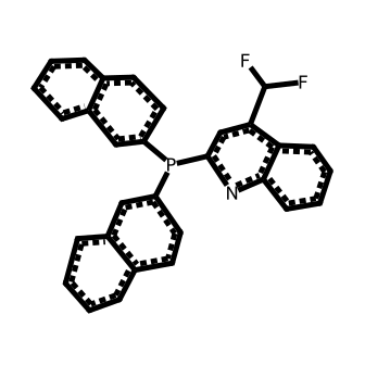 FC(F)c1cc(P(c2ccc3ccccc3c2)c2ccc3ccccc3c2)nc2ccccc12